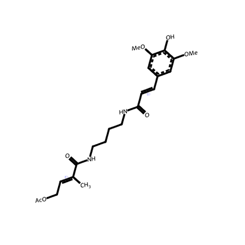 COc1cc(/C=C/C(=O)NCCCCNC(=O)/C(C)=C/COC(C)=O)cc(OC)c1O